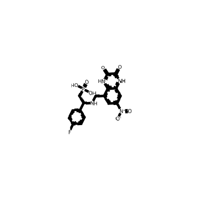 O=c1[nH]c2cc([N+](=O)[O-])cc(CNC(CP(=O)(O)O)c3ccc(F)cc3)c2[nH]c1=O